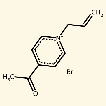 C=CC[n+]1ccc(C(C)=O)cc1.[Br-]